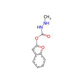 CNNC(=O)Oc1cc2ccccc2o1